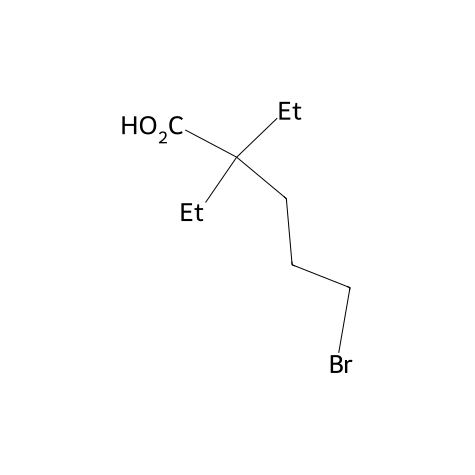 CCC(CC)(CCCBr)C(=O)O